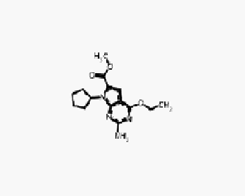 CCOc1nc(N)nc2c1cc(C(=O)OC)n2C1CCCC1